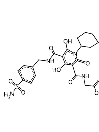 NS(=O)(=O)c1ccc(CNC(=O)c2c(O)c(C(=O)NCC(=O)O)c(=O)n(C3CCCCC3)c2O)cc1